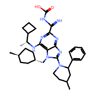 CC1CCN(c2nc3nc(C(=N)NC(=O)O)nc(N[C@H](C)C4CCC4)c3n2C[C@H]2CC[C@H](C)CC2)C(c2ccccc2)C1